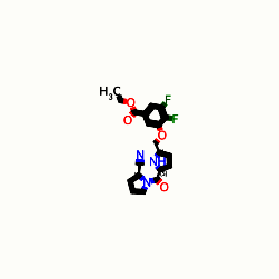 CCOC(=O)c1cc(F)c(F)c(OC[C@H]2CC[C@@H](C(=O)N3CCC[C@H]3C#N)N2)c1